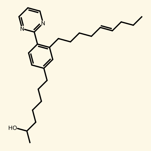 CCCC=CCCCCc1cc(CCCCCC(C)O)ccc1-c1ncccn1